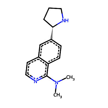 CN(C)c1nccc2cc([C@@H]3CCCN3)ccc12